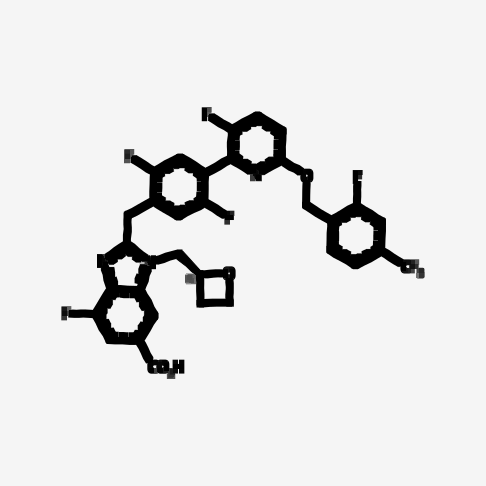 O=C(O)c1cc(F)c2nc(Cc3cc(F)c(-c4nc(OCc5ccc(C(F)(F)F)cc5F)ccc4F)cc3F)n(C[C@@H]3CCO3)c2c1